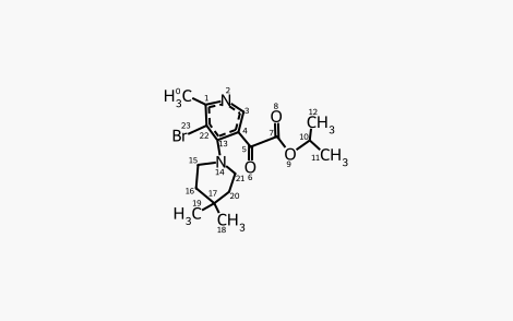 Cc1ncc(C(=O)C(=O)OC(C)C)c(N2CCC(C)(C)CC2)c1Br